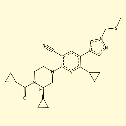 CSCn1cc(-c2cc(C#N)c(N3CCN(C(=O)C4CC4)[C@H](C4CC4)C3)nc2C2CC2)cn1